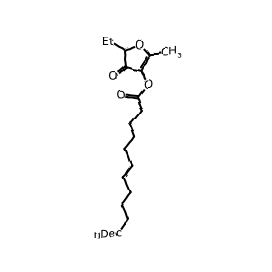 CCCCCCCCCCCCCCCCCCCC(=O)OC1=C(C)OC(CC)C1=O